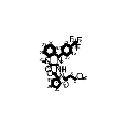 COCCC(=O)NC1(C(=O)NC2N=C(c3ccc(C(F)(F)F)cc3)c3ccccc3N(C)C2=O)CCCC1